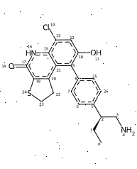 CC[C@H](CN)c1ccc(-c2c(O)cc(Cl)c3[nH]c(=O)c4c(c23)CCS4)cc1